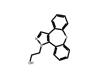 OCCn1ncc2c1-c1ccccc1Sc1ccccc1-2